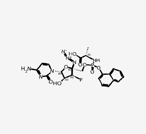 C[C@H](NP(=O)(OC[C@@]1(N=[N+]=[N-])O[C@@H](n2ccc(N)nc2=O)[C@H](O)[C@@H]1F)Oc1cccc2ccccc12)C(=O)O